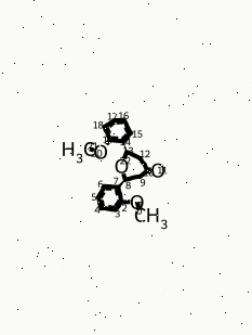 COc1ccccc1[C@@H]1CC(=O)C[C@@H](c2ccccc2OC)O1